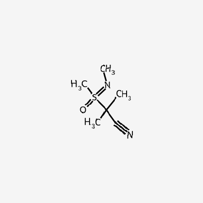 CN=S(C)(=O)C(C)(C)C#N